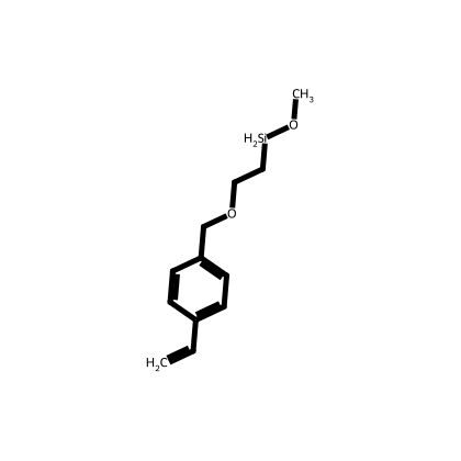 C=Cc1ccc(COCC[SiH2]OC)cc1